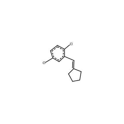 Clc1ccc(Cl)c(C=C2CCCC2)c1